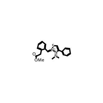 COC(=O)Cc1ccccc1C=[N+]1SC=C(c2ccccc2)N1N(C)C